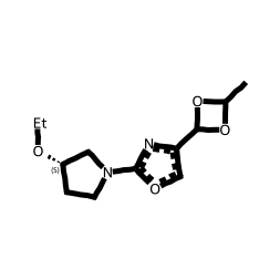 CCO[C@H]1CCN(c2nc(C3OC(C)O3)co2)C1